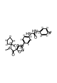 CN(C(=O)c1cc(-c2ccc(NC(=O)Nc3ccc(F)cc3)cc2)no1)C1(C(=O)O)CCCC1